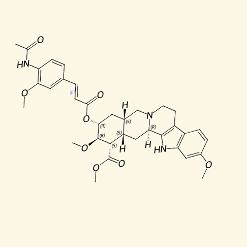 COC(=O)[C@H]1[C@H]2C[C@@H]3c4[nH]c5cc(OC)ccc5c4CCN3C[C@H]2C[C@@H](OC(=O)/C=C/c2ccc(NC(C)=O)c(OC)c2)[C@@H]1OC